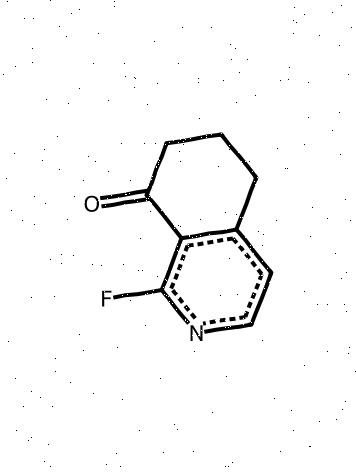 O=C1CCCc2ccnc(F)c21